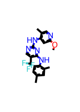 COc1cc(Nc2ncc(C(F)(F)F)c(Nc3ccc(C)cc3C)n2)c(C)cn1